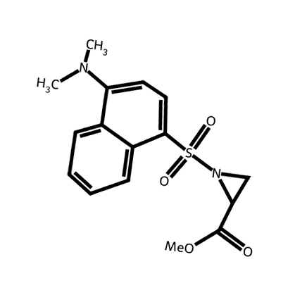 COC(=O)C1CN1S(=O)(=O)c1ccc(N(C)C)c2ccccc12